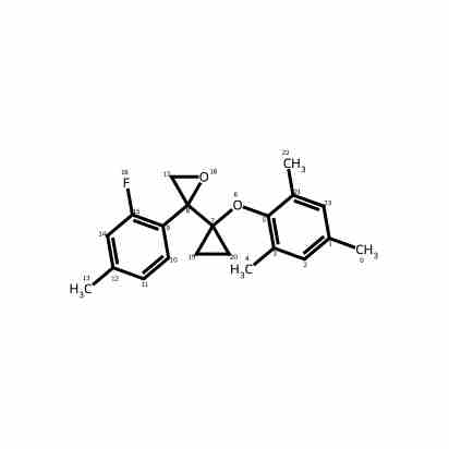 Cc1cc(C)c(OC2(C3(c4ccc(C)cc4F)CO3)CC2)c(C)c1